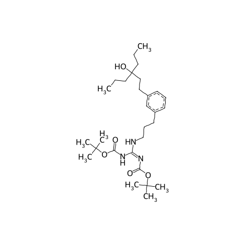 CCCC(O)(CCC)CCc1cccc(CCCNC(=NC(=O)OC(C)(C)C)NC(=O)OC(C)(C)C)c1